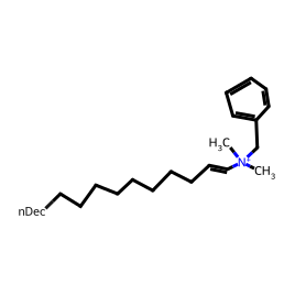 CCCCCCCCCCCCCCCCCCC=C[N+](C)(C)Cc1ccccc1